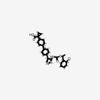 CC(OC(=O)Nc1sncc1-c1ccc(-c2ccc(C3(C(=O)O)CC3)cc2)cc1)c1ccccc1Cl